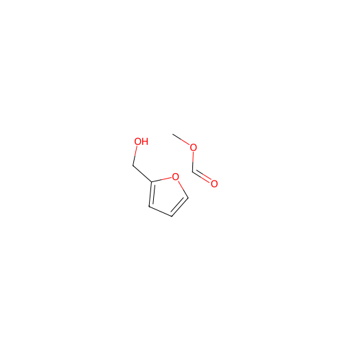 COC=O.OCc1ccco1